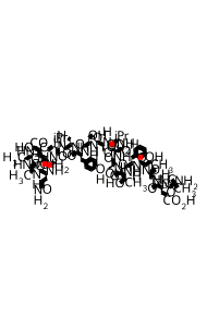 CC(C)C[C@H](NC(=O)[C@H](Cc1ccc(O)cc1)NC(=O)[C@H](CO)NC(=O)[C@H](CO)NC(=O)[C@@H](NC(=O)[C@H](CC(=O)O)NC(=O)[C@H](CO)NC(=O)[C@@H](NC(=O)[C@H](Cc1ccccc1)NC(=O)[C@@H](NC(=O)CNC(=O)[C@H](CCC(=O)O)NC(=O)C(C)(C)N)[C@@H](C)O)[C@@H](C)O)C(C)C)C(=O)N[C@@H](CCC(=O)O)C(=O)NCC(=O)N[C@@H](CCC(N)=O)C(=O)N[C@@H](C)C(=O)N[C@@H](C)C(=O)N[C@@H](CCCCN)C(=O)O